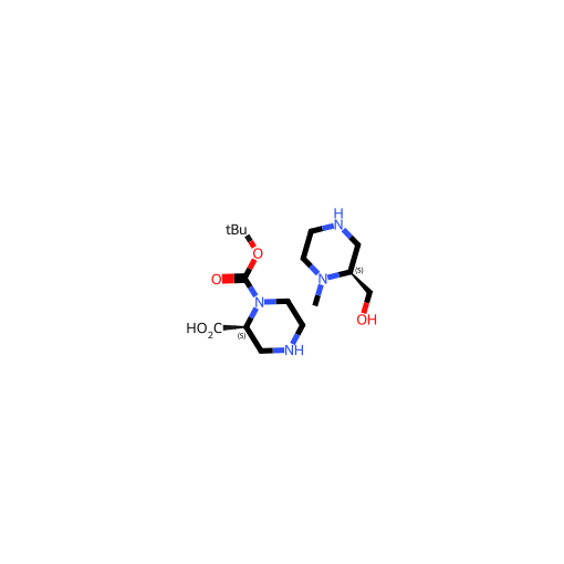 CC(C)(C)OC(=O)N1CCNC[C@H]1C(=O)O.CN1CCNC[C@H]1CO